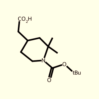 CC(C)(C)OC(=O)N1CCC(CC(=O)O)CC1(C)C